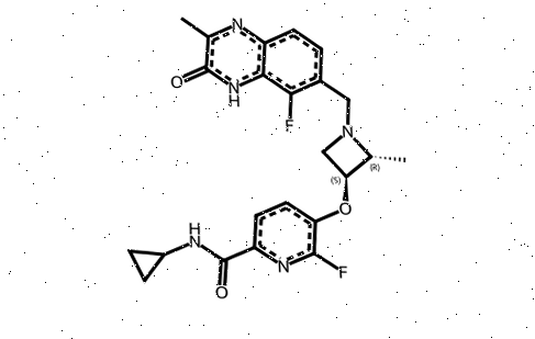 Cc1nc2ccc(CN3C[C@H](Oc4ccc(C(=O)NC5CC5)nc4F)[C@H]3C)c(F)c2[nH]c1=O